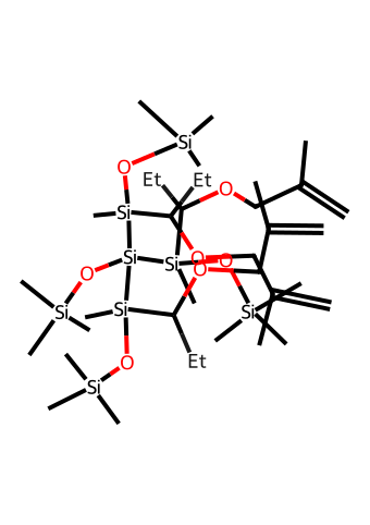 C=C(C)COC(CC)[Si](C)(O[Si](C)(C)C)[Si](O[Si](C)(C)C)([Si](C)(O[Si](C)(C)C)C(CC)OCC(=C)C)[Si](C)(O[Si](C)(C)C)C(CC)OCC(=C)C